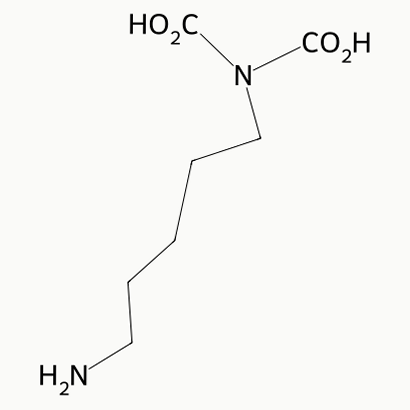 NCCCCCN(C(=O)O)C(=O)O